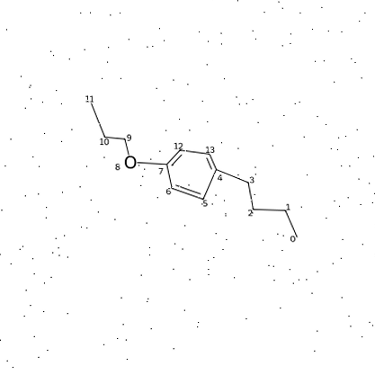 CCCCc1ccc(OCCC)cc1